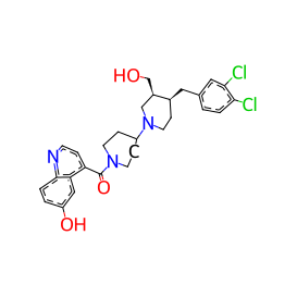 O=C(c1ccnc2ccc(O)cc12)N1CCC(N2CC[C@H](Cc3ccc(Cl)c(Cl)c3)[C@H](CO)C2)CC1